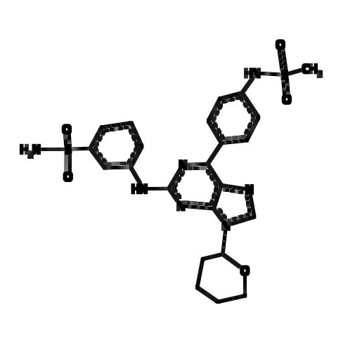 CS(=O)(=O)Nc1ccc(-c2nc(Nc3cccc(S(N)(=O)=O)c3)nc3c2ncn3C2CCCCO2)cc1